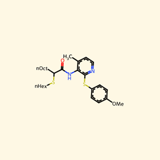 CCCCCCCCC(SCCCCCC)C(=O)Nc1c(C)ccnc1Sc1ccc(OC)cc1